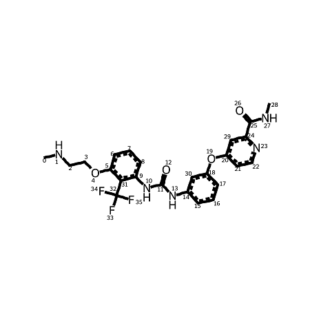 CNCCOc1cccc(NC(=O)Nc2cccc(Oc3ccnc(C(=O)NC)c3)c2)c1C(F)(F)F